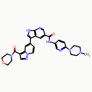 CN1CCN(c2ccc(NC(=O)c3cnc4[nH]cc(-c5ccn6ncc(C(=O)N7CCOCC7)c6c5)c4c3)cn2)CC1